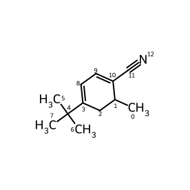 CC1CC(C(C)(C)C)=CC=C1C#N